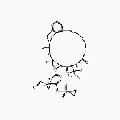 C=C[C@@H]1C[C@]1(NC(=O)[C@@H]1C[C@@H]2CN1C(=O)[C@H](C(C)(C)C)NC(=O)CCCCCCCc1cccc3c1CN(C3)C(=O)O2)C(=O)NS(=O)(=O)C1CC1